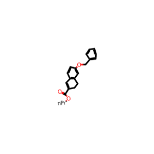 CCCOC(=O)C1=Cc2ccc(OCc3ccccc3)cc2CC1